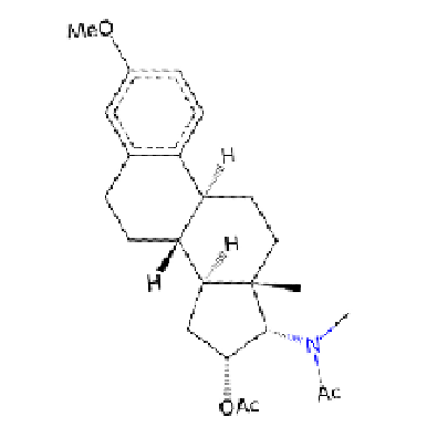 COc1ccc2c(c1)CC[C@@H]1[C@@H]2CC[C@@]2(C)[C@H]1C[C@@H](OC(C)=O)[C@H]2N(C)C(C)=O